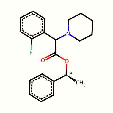 C[C@H](OC(=O)C(c1ccccc1F)N1CCCCC1)c1ccccc1